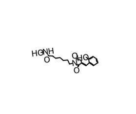 O=C(CCCCCCN1C(=O)C/C(=C\c2ccccc2O)C1=O)NO